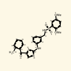 COc1ccc(OC)c(S(=O)(=O)NCc2cccc(Nc3ncc(C(=O)c4ccccc4C)s3)c2)c1